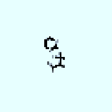 FC(F)C(F)C(F)(F)Oc1ncccn1